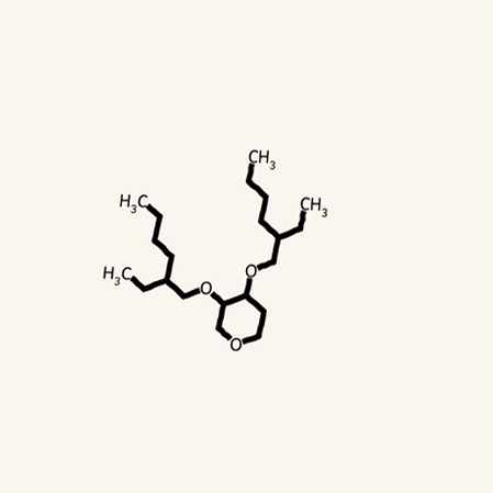 CCCCC(CC)COC1CCOCC1OCC(CC)CCCC